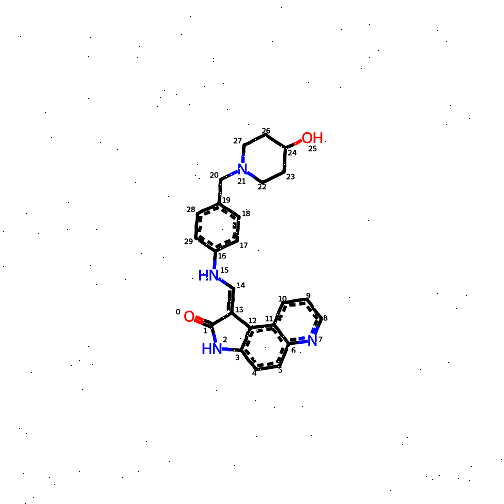 O=C1Nc2ccc3ncccc3c2/C1=C/Nc1ccc(CN2CCC(O)CC2)cc1